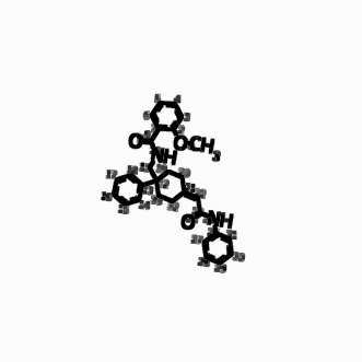 COc1ccccc1C(=O)NCC1(c2ccccc2)CCC(=CC(=O)Nc2ccccc2)CC1